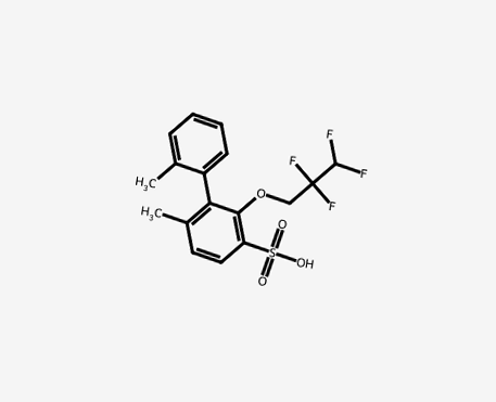 Cc1ccccc1-c1c(C)ccc(S(=O)(=O)O)c1OCC(F)(F)C(F)F